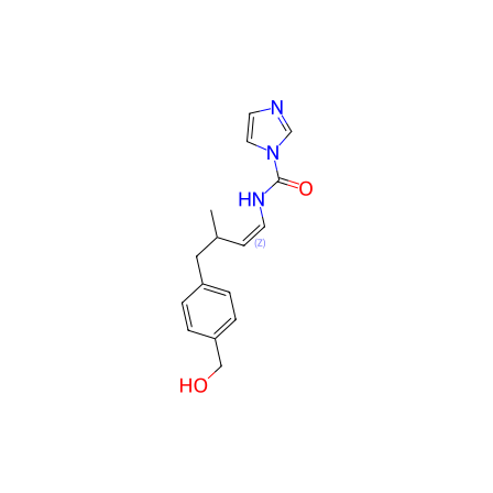 CC(/C=C\NC(=O)n1ccnc1)Cc1ccc(CO)cc1